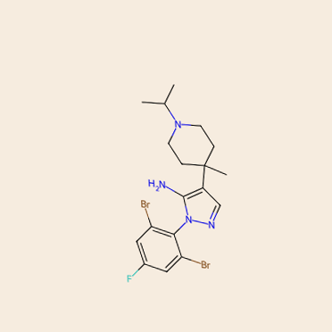 CC(C)N1CCC(C)(c2cnn(-c3c(Br)cc(F)cc3Br)c2N)CC1